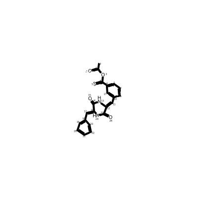 CC(=O)OC(=S)c1cccc(/C=c2\[nH]c(=O)/c(=C/c3ccccc3)[nH]c2=O)c1